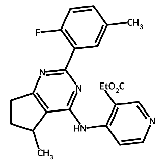 CCOC(=O)c1cnccc1Nc1nc(-c2cc(C)ccc2F)nc2c1C(C)CC2